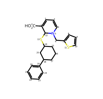 O=C(O)C1=CC=CN(Cc2cccs2)C1SC1CCCC(c2ccccc2)C1